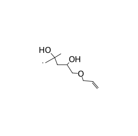 [CH2]C(C)(O)CC(O)COCC=C